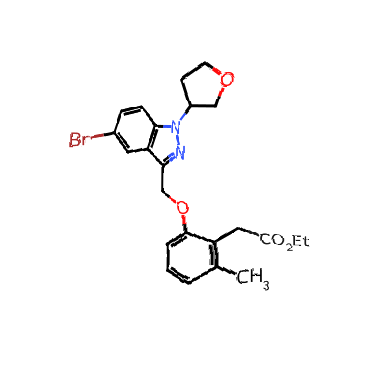 CCOC(=O)Cc1c(C)cccc1OCc1nn(C2CCOC2)c2ccc(Br)cc12